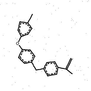 C=C(C)c1ccc(Cc2ccc(Oc3ccc(C)cc3)cc2)cc1